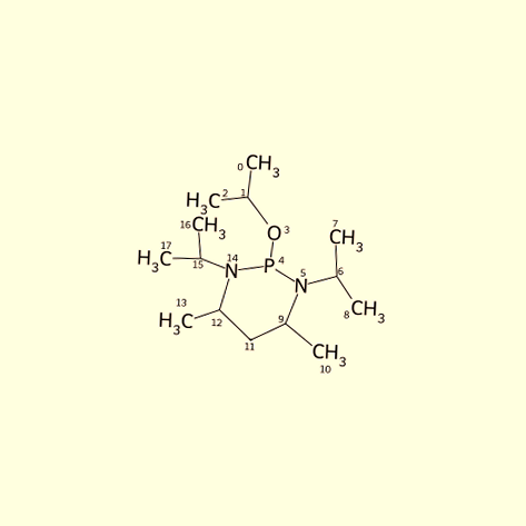 CC(C)OP1N(C(C)C)C(C)CC(C)N1C(C)C